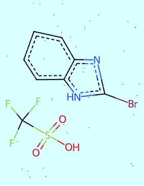 Brc1nc2ccccc2[nH]1.O=S(=O)(O)C(F)(F)F